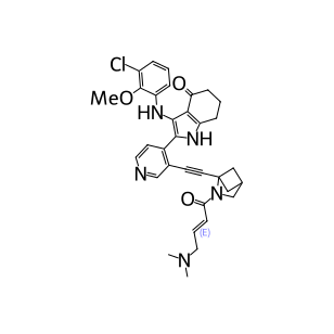 COc1c(Cl)cccc1Nc1c(-c2ccncc2C#CC23CC(CN2C(=O)/C=C/CN(C)C)C3)[nH]c2c1C(=O)CCC2